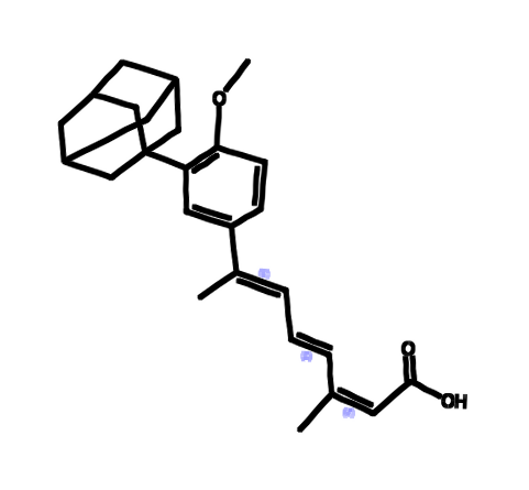 COc1ccc(/C(C)=C/C=C/C(C)=C\C(=O)O)cc1C12CC3CC(CC(C3)C1)C2